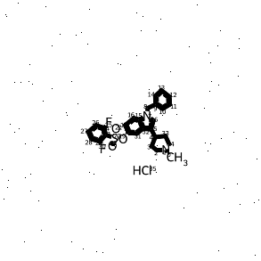 CN1CCC(c2cn(Cc3ccccc3)c3ccc(OS(=O)(=O)c4c(F)cccc4F)cc23)CC1.Cl